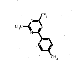 Cc1ccc(-c2nc(C(F)(F)F)nc(C(Cl)(Cl)Cl)n2)cc1